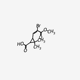 COC(=O)/C(Br)=C\C1C(C(=O)O)C1(C)C